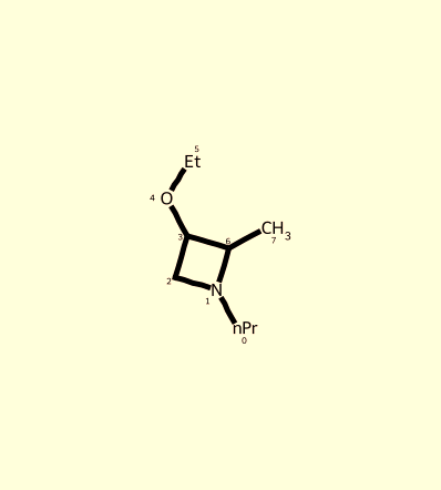 CCCN1CC(OCC)C1C